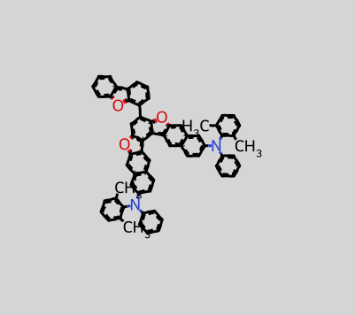 Cc1cccc(C)c1N(c1ccccc1)c1ccc2cc3c(cc2c1)oc1cc(-c2cccc4c2oc2ccccc24)c2oc4cc5cc(N(c6ccccc6)c6c(C)cccc6C)ccc5cc4c2c13